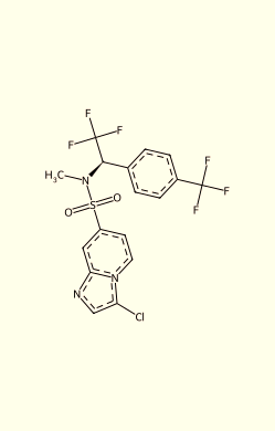 CN([C@H](c1ccc(C(F)(F)F)cc1)C(F)(F)F)S(=O)(=O)c1ccn2c(Cl)cnc2c1